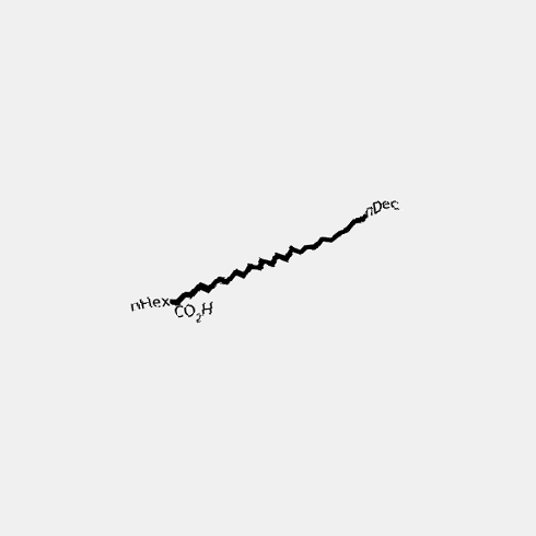 CCCCCCCCCCCCCCCCCCCCCCCCCCCCCCCCCCC(CCCCCC)C(=O)O